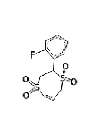 O=S1(=O)C=CCS(=O)(=O)C(c2ccccc2F)C1